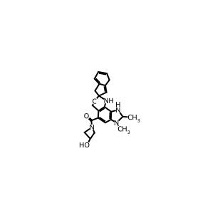 CC1Nc2c(cc(C(=O)N3CC(O)C3)c3c2NC2(C=C4CC=CC=C4C2)CC3)N1C